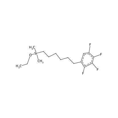 CCO[Si](C)(C)CCCCCCc1cc(F)c(F)c(F)c1F